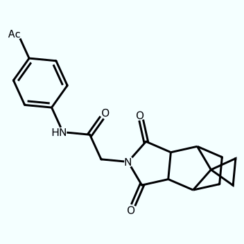 CC(=O)c1ccc(NC(=O)CN2C(=O)C3C(C2=O)C2CCC3C23CC3)cc1